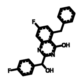 Oc1nc(C(O)c2ccc(F)cc2)nc2cc(F)cc(Cc3ccccc3)c12